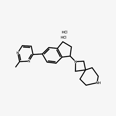 Cc1nccc(-c2ccc3c(c2)CCC3N2CC3(CCNCC3)C2)n1.Cl.Cl